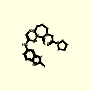 Cc1nc2cc(N/C(=C/[N+](=O)[O-])N[C@H]3CCCCN(CC(=O)N4CCCC4)C3=O)ccc2s1